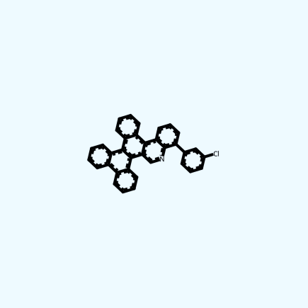 Clc1cccc(-c2cccc3c2ncc2c3c3ccccc3c3c4ccccc4c4ccccc4c23)c1